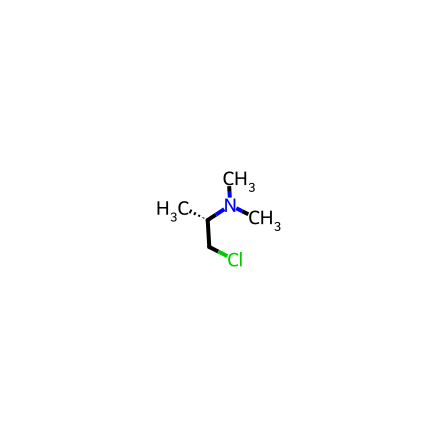 C[C@@H](CCl)N(C)C